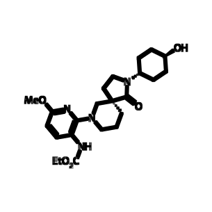 CCOC(=O)Nc1ccc(OC)nc1N1CCC[C@@]2(CCN([C@H]3CC[C@H](O)CC3)C2=O)C1